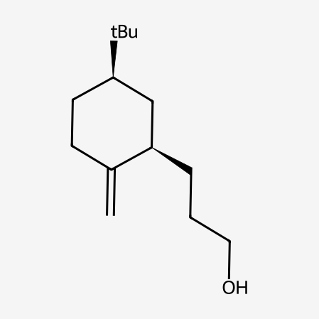 C=C1CC[C@@H](C(C)(C)C)C[C@H]1CCCO